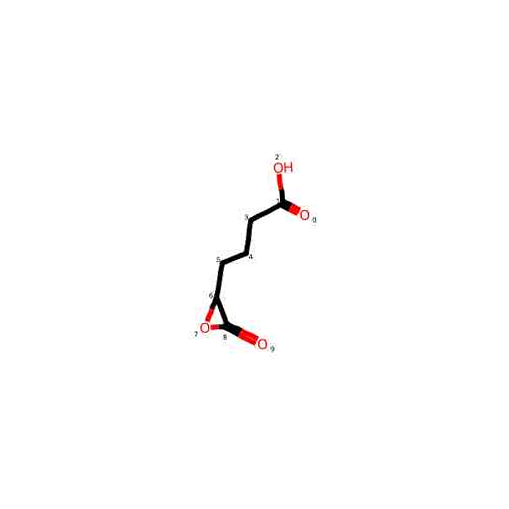 O=C(O)CCCC1OC1=O